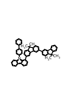 CC1(C)c2ccccc2-c2cc(-c3ccc4c(c3)-c3cc(-c5cccc6c7ccccc7n(-c7ccc(-c8ccccc8)cc7)c56)ccc3C4(C)C)ccc21